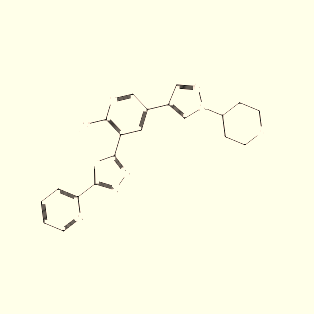 Nc1ncc(-c2cnn(C3CCNCC3)c2)cc1-c1nnc(-c2ccccn2)o1